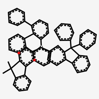 CC1(C)c2ccccc2-c2cc(N(c3ccc4c(c3)C(c3ccccc3)(c3ccccc3)c3ccccc3-4)c3cccc(-c4ccccc4)c3-c3ccccc3-c3ccccc3)ccc21